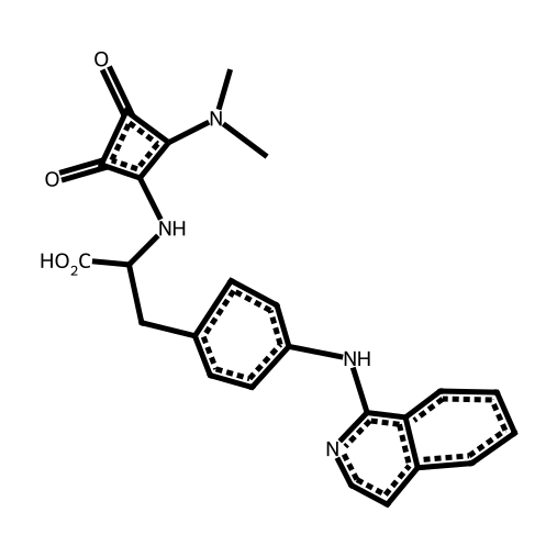 CN(C)c1c(NC(Cc2ccc(Nc3nccc4ccccc34)cc2)C(=O)O)c(=O)c1=O